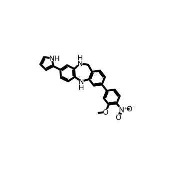 COc1cc(-c2ccc3c(c2)Nc2ccc(-c4ccc[nH]4)cc2NC3)ccc1[N+](=O)[O-]